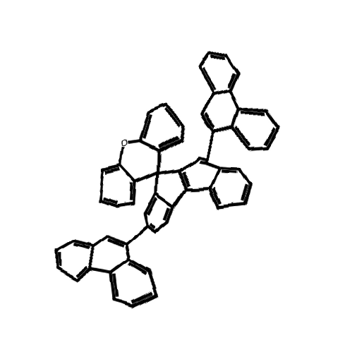 c1ccc2c(c1)Oc1ccccc1C21c2cc(-c3cc4ccccc4c4ccccc34)ccc2-c2c1cc(-c1cc3ccccc3c3ccccc13)c1ccccc21